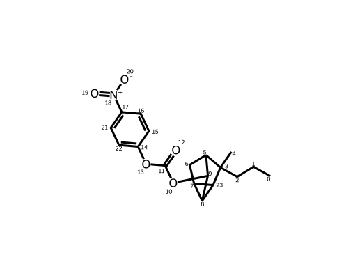 CCCC1(C)C2CC3C(C2OC(=O)Oc2ccc([N+](=O)[O-])cc2)C31